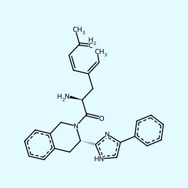 C=C(C)/C=C\C(=C/C)C[C@H](N)C(=O)N1Cc2ccccc2C[C@H]1c1nc(-c2ccccc2)c[nH]1